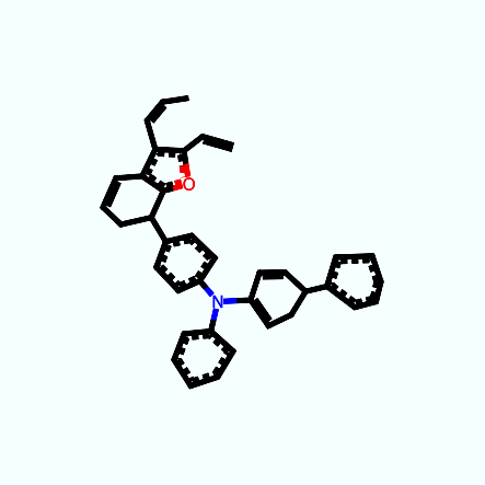 C=Cc1oc2c(c1/C=C\C)C=CCC2c1ccc(N(C2=CCC(c3ccccc3)C=C2)c2ccccc2)cc1